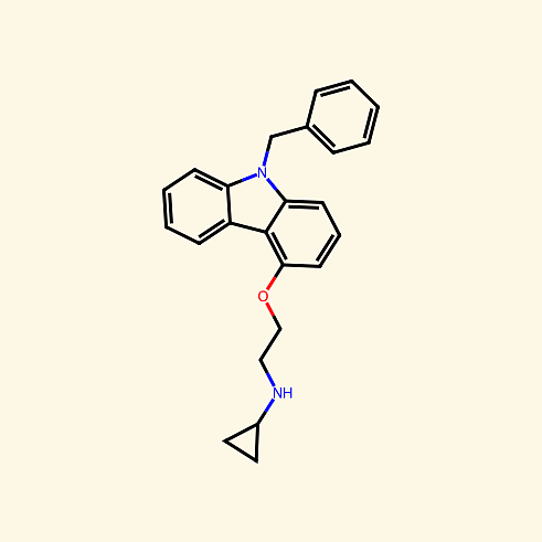 c1ccc(Cn2c3ccccc3c3c(OCCNC4CC4)cccc32)cc1